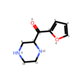 O=C(c1ccco1)C1CNCC[N]1